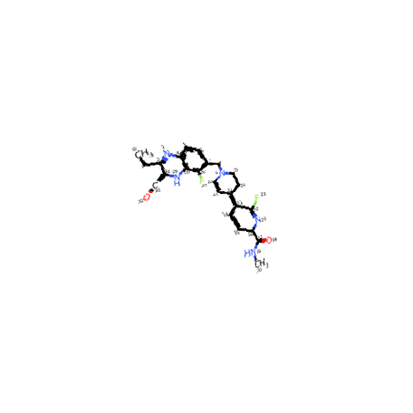 CCC1=Nc2ccc(CN3C=CC(=C4C=CC(C(=O)NC)N=C4F)CC3)c(F)c2NC1=C=O